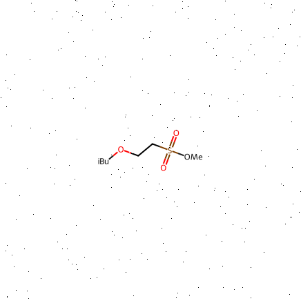 CCC(C)OCCS(=O)(=O)OC